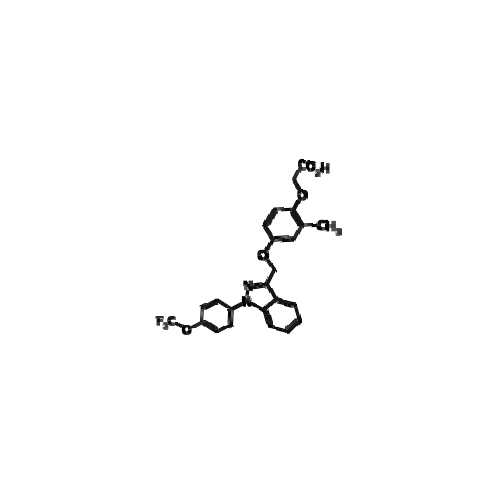 Cc1cc(OCc2nn(-c3ccc(OC(F)(F)F)cc3)c3ccccc23)ccc1OCC(=O)O